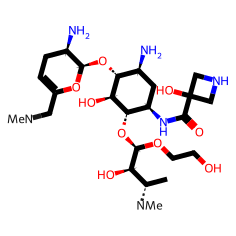 CNCC1=CC[C@@H](N)[C@@H](O[C@H]2[C@H](O)[C@@H](O[C@@H](OCCO)[C@H](O)[C@H](C)NC)[C@H](NC(=O)C3(O)CNC3)C[C@@H]2N)O1